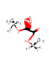 O=C(O[Si](C(F)(F)F)(C(F)(F)F)C(F)(F)F)C(=O)O[Si](C(F)(F)F)(C(F)(F)F)C(F)(F)F